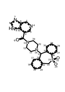 O=C(c1cncc2nc[nH]c12)N1CCN(C2c3ccccc3CS(=O)(=O)c3ccccc32)CC1